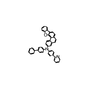 c1ccc(-c2ccc(N(c3ccc(-c4ccccn4)cc3)c3ccc4c(ccc5ccc6c7ccccc7oc6c54)c3)cc2)cc1